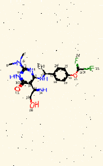 CCC(Nc1nc(N(C)C)[nH]c(=O)c1C(=N)CO)c1ccc(OC(F)F)cc1